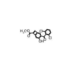 COC(=O)C1=Cc2cc(C(=O)c3c(Cl)cccc3Cl)c(O)cc21